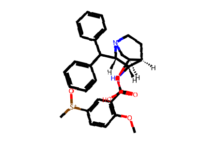 COc1ccc([S+](C)[O-])cc1CN[C@H]1[C@@H]2CCN(C[C@@H]2OC(=O)O)[C@H]1C(c1ccccc1)c1ccccc1